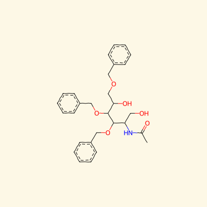 CC(=O)NC(CO)C(OCc1ccccc1)C(OCc1ccccc1)C(O)COCc1ccccc1